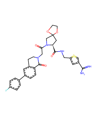 N=C(N)c1csc(CNC(=O)[C@@H]2CC3(CN2C(=O)CN2CCc4cc(-c5ccc(F)cc5)ccc4C2=O)OCCO3)c1